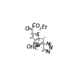 CCOC(=O)C(=O)c1ccc(CC2(NC=O)C=NN=N2)s1